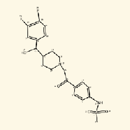 CS(=O)(=O)Nc1ccc(C(=O)CN2CCC(C(O)c3ccc(F)c(F)c3)CC2)cc1